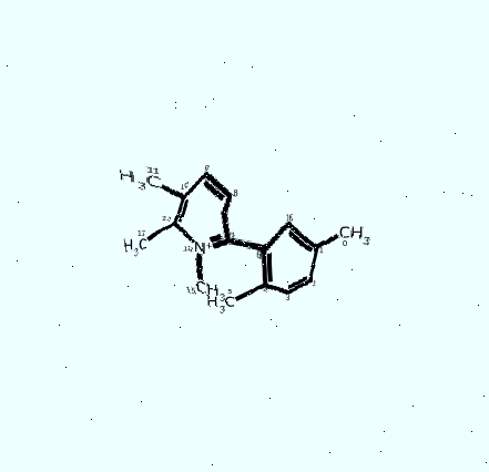 Cc1ccc(C)c(-c2ccc(C)c(C)[n+]2C)c1